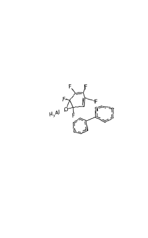 FC1=CC2(F)OC2(F)C(F)=C1F.[AlH3].c1ccc(-c2ccccc2)cc1